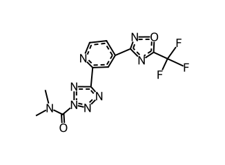 CN(C)C(=O)n1nnc(-c2cc(-c3noc(C(F)(F)F)n3)ccn2)n1